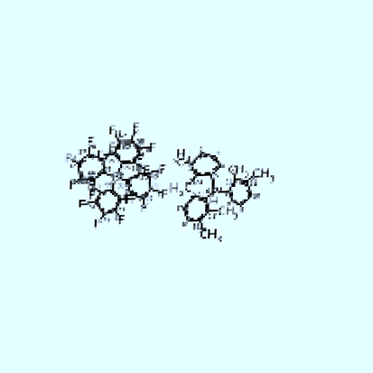 Cc1cccc([PH+](c2cccc(C)c2C)c2cccc(C)c2C)c1C.Fc1c(F)c(F)c([B-](c2c(F)c(F)c(F)c(F)c2F)(c2c(F)c(F)c(F)c(F)c2F)c2c(F)c(F)c(F)c(F)c2F)c(F)c1F